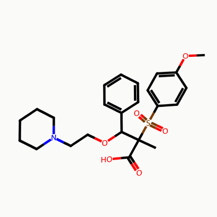 COc1ccc(S(=O)(=O)C(C)(C(=O)O)C(OCCN2CCCCC2)c2ccccc2)cc1